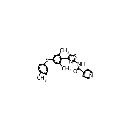 Cc1ccc(Sc2cc(C)c(-c3csc(NC(=O)c4ccncc4)n3)c(C)c2)cc1